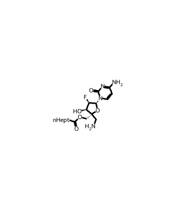 CCCCCCCC(=O)OC[C@@]1(CN)O[C@@H](n2ccc(N)nc2=O)[C@H](F)[C@@H]1O